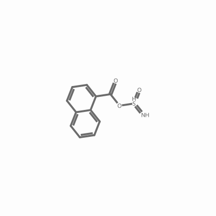 N=[SH](=O)OC(=O)c1cccc2ccccc12